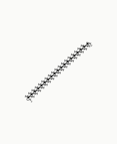 CNNNNNNNNNNNNNNNNNNNNNNNNNNNNNNNNNNNNN